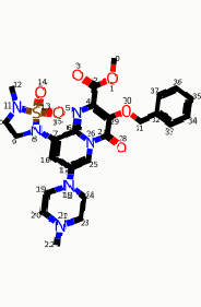 COC(=O)c1nc2c(N3CCN(C)S3(=O)=O)cc(N3CCN(C)CC3)cn2c(=O)c1OCc1ccccc1